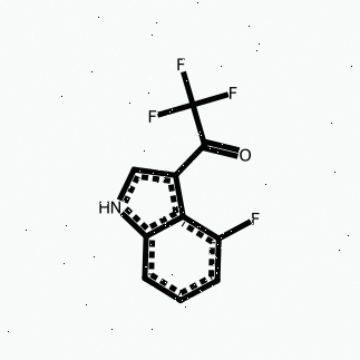 O=C(c1c[nH]c2cccc(F)c12)C(F)(F)F